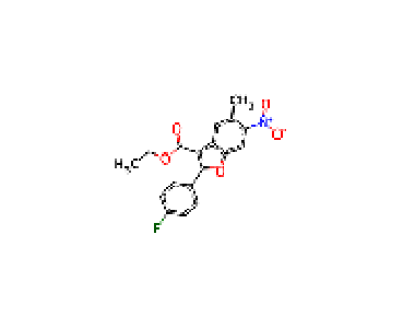 CCOC(=O)c1c(-c2ccc(F)cc2)oc2cc([N+](=O)[O-])c(C)cc12